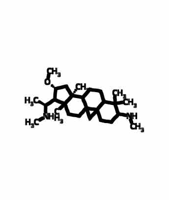 CNC1CCC23CC24CCC2(C)C([C@H](C)NC)[C@H](OC)C[C@@]2(C)C4CCC3C1(C)C